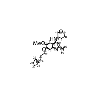 COc1cc2c(NC3CCCOC3)nc(N(C)C)nc2cc1OCCCN1CCCC1